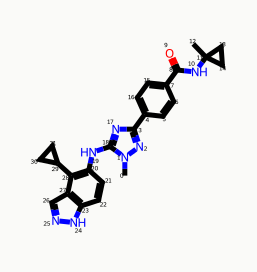 Cn1nc(-c2ccc(C(=O)NC3(C)CC3)cc2)nc1Nc1ccc2[nH]ncc2c1C1CC1